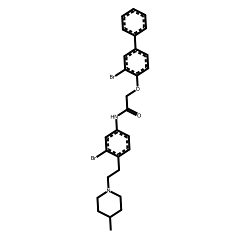 CC1CCN(CCc2ccc(NC(=O)COc3ccc(-c4ccccc4)cc3Br)cc2Br)CC1